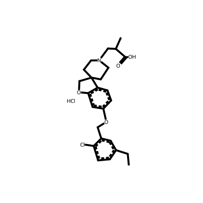 CCc1ccc(Cl)c(COc2ccc3c(c2)OCC32CCN(CC(C)C(=O)O)CC2)c1.Cl